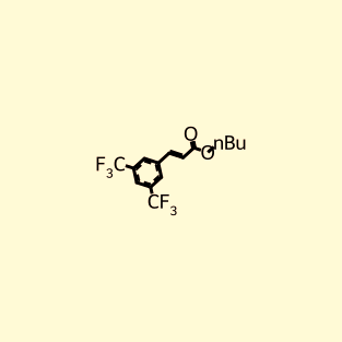 CCCCOC(=O)/C=C/c1cc(C(F)(F)F)cc(C(F)(F)F)c1